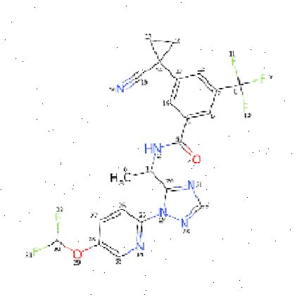 CC(NC(=O)c1cc(C(F)(F)F)cc(C2(C#N)CC2)c1)c1ncnn1-c1ccc(OC(F)F)cn1